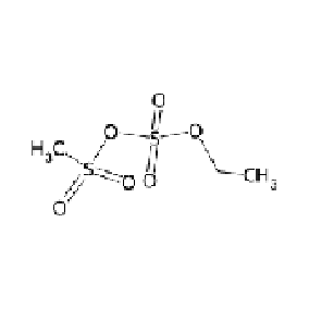 CCOS(=O)(=O)OS(C)(=O)=O